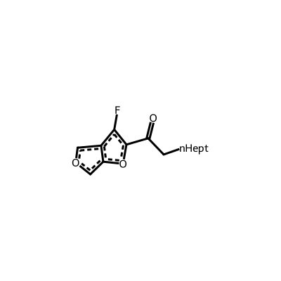 CCCCCCCCC(=O)c1oc2cocc2c1F